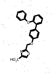 O=C(O)c1csc(COc2ccc(-c3ccccc3Oc3ccccc3)cc2)n1